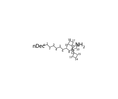 CCCCCCCCCCCCCCCCCCS(CN)(C1CCC1)C1CCC1